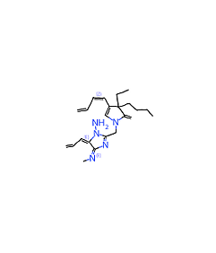 C=C/C=C\C1=CN(CC2=NC(=N/C)/C(=C\C=C)N2N)C(=C)C1(CC)CCCC